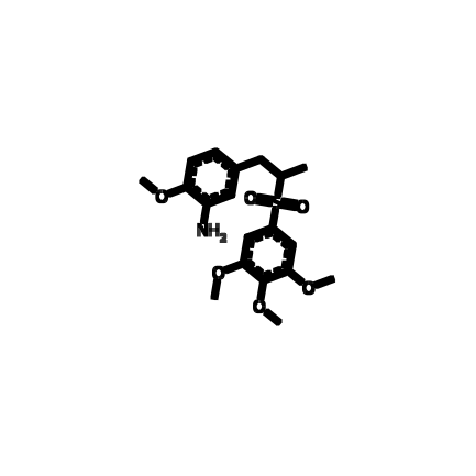 COc1ccc(CC(C)S(=O)(=O)c2cc(OC)c(OC)c(OC)c2)cc1N